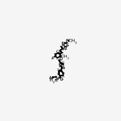 COc1nn2cc(-c3cc4c(o3)C=C(F)CC4(C)OCc3csc(-c4ccc(C(=O)N(C)CC#N)cc4)n3)nc2s1